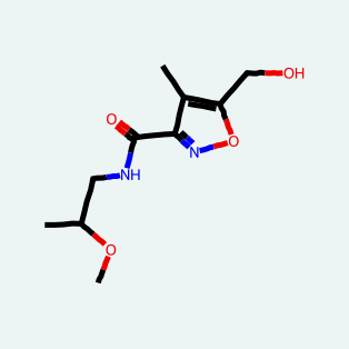 COC(C)CNC(=O)c1noc(CO)c1C